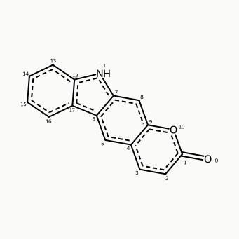 O=c1ccc2cc3c(cc2o1)[nH]c1ccccc13